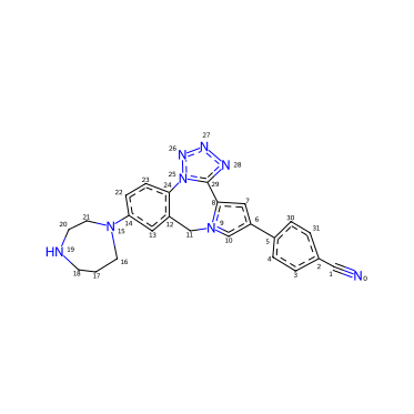 N#Cc1ccc(-c2cc3n(c2)Cc2cc(N4CCCNCC4)ccc2-n2nnnc2-3)cc1